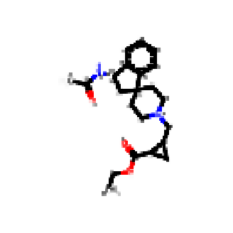 CCOC(=O)C1CC1CN1CCC2(CC1)C[C@H](NC(C)=O)c1ccccc12